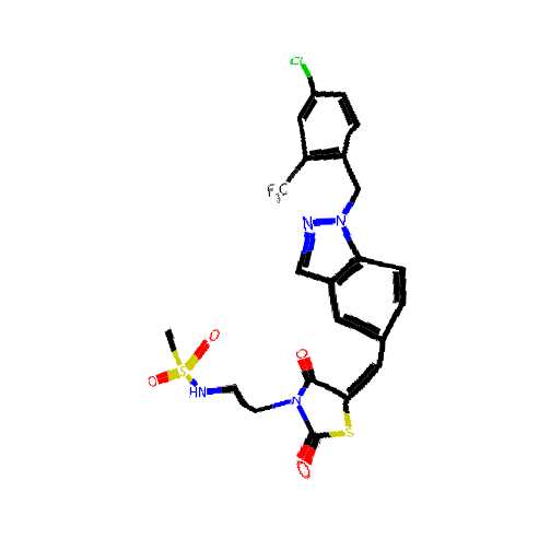 CS(=O)(=O)NCCN1C(=O)SC(=Cc2ccc3c(cnn3Cc3ccc(Cl)cc3C(F)(F)F)c2)C1=O